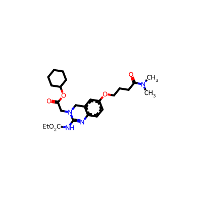 CCOC(=O)NC1=Nc2ccc(OCCCC(=O)N(C)C)cc2CN1CC(=O)OC1CCCCC1